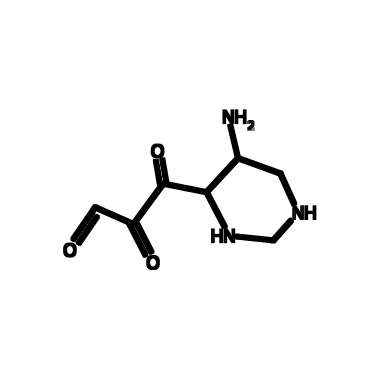 NC1CNCNC1C(=O)C(=O)C=O